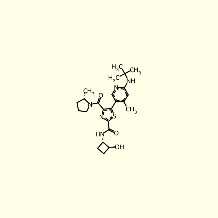 Cc1cc(NC(C)(C)C)ncc1-c1sc(C(=O)N[C@H]2CC[C@@H]2O)nc1C(=O)N1CCC[C@@H]1C